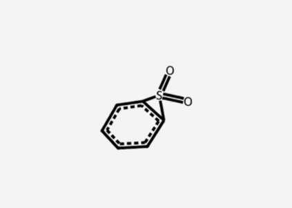 O=S1(=O)c2ccccc21